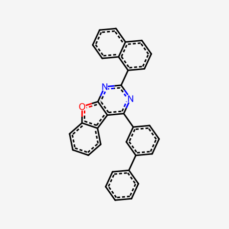 c1ccc(-c2cccc(-c3nc(-c4cccc5ccccc45)nc4oc5ccccc5c34)c2)cc1